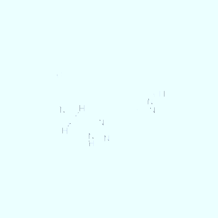 Cn1cc2cc(-c3cnc(NC4C[C@@H]5CN(CC6CCOCC6)C[C@@H]5C4)nc3)ccc2n1